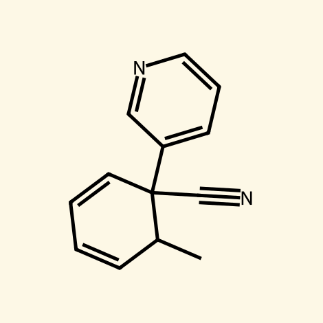 CC1C=CC=CC1(C#N)c1cccnc1